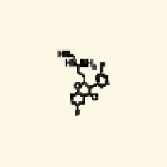 N=CN/C(N)=C/Cc1oc2ccc(F)cc2c(=O)c1-c1cccc(F)c1